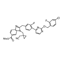 COC(=O)c1ccc2nc(Cc3ccc(-c4ccnc(OCc5ccc(Cl)cc5F)n4)c(F)c3)n(CC3(CC#N)CC3)c2c1